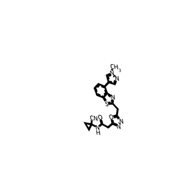 Cn1cc(-c2cccc3sc(Cc4nnc(CC(=O)NC5(C#N)CC5)o4)nc23)cn1